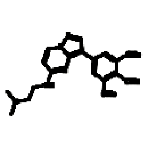 COc1cc(-c2cnn3ccc(NCCN(C)C)nc23)cc(OC)c1OC